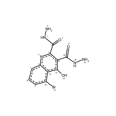 NNC(=O)c1nc2cccc(Br)c2c(O)c1C(=O)NN